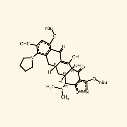 CCCCOc1cc(C=O)c(N2CCCC2)c2c1C(=O)C1=C(O)[C@]3(O)C(=O)c4c(OCCCC)noc4[C@@H](N(C)C)[C@@H]3C[C@@H]1C2